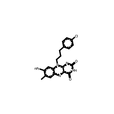 CCCc1cc2c(cc1C)nc1c(=O)[nH]c(=O)nc-1n2CCCc1ccc(Cl)cc1